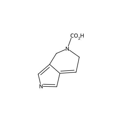 O=C(O)N1CC=C2C=NC=C2C1